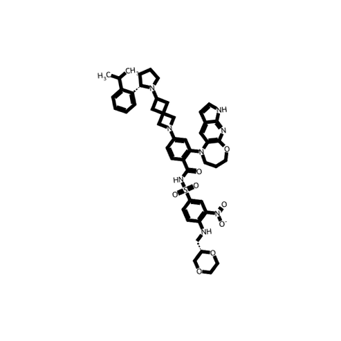 CC(C)c1ccccc1[C@@H]1CCCN1C1CC2(C1)CN(c1ccc(C(=O)NS(=O)(=O)c3ccc(NC[C@H]4COCCO4)c([N+](=O)[O-])c3)c(N3CCCOc4nc5[nH]ccc5cc43)c1)C2